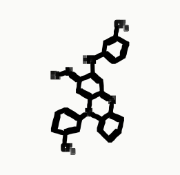 CC/N=c1\cc2n(-c3cccc(C(F)(F)F)c3)c3ccccc3nc-2cc1Nc1cccc(C(F)(F)F)c1